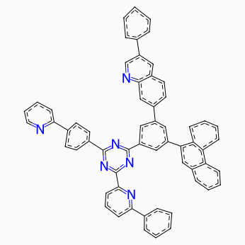 c1ccc(-c2cnc3cc(-c4cc(-c5nc(-c6ccc(-c7ccccn7)cc6)nc(-c6cccc(-c7ccccc7)n6)n5)cc(-c5cc6ccccc6c6ccccc56)c4)ccc3c2)cc1